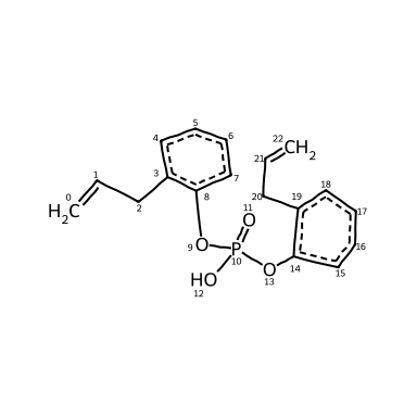 C=CCc1ccccc1OP(=O)(O)Oc1ccccc1CC=C